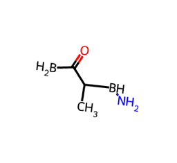 BC(=O)C(C)BN